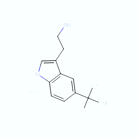 CC(C)(C)c1ccc2[nH]cc(CCN)c2c1.Cl